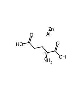 N[C@@H](CCC(=O)O)C(=O)O.[Al].[Zn]